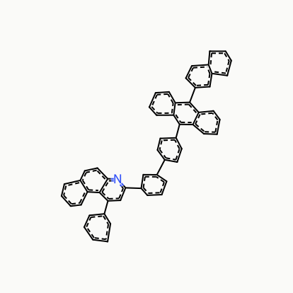 c1ccc(-c2cc(-c3cccc(-c4ccc(-c5c6ccccc6c(-c6ccc7ccccc7c6)c6ccccc56)cc4)c3)nc3ccc4ccccc4c23)cc1